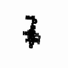 CNc1cccc(Cc2ccc([C@@H]3O[C@@H]4C[C@H]5[C@@H]6C[C@H](F)C7=CC(=O)C=C[C@]7(C)[C@@]6(F)[C@@H](O)C[C@]5(C)[C@]4(C(=O)CO)O3)s2)c1